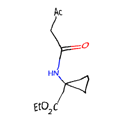 CCOC(=O)C1(NC(=O)CC(C)=O)CC1